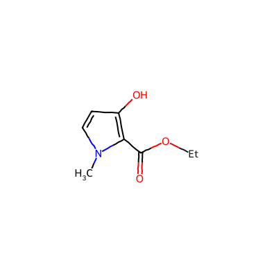 CCOC(=O)c1c(O)ccn1C